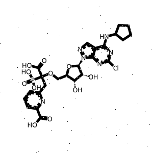 O=C(O)c1cccc(CC(OCC2O[C@@H](n3ncc4c(NC5CCCC5)nc(Cl)nc43)[C@H](O)[C@@H]2O)(C(=O)O)P(=O)(O)O)n1